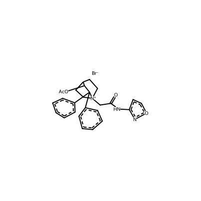 CC(=O)OC1C2CC[N+](CC(=O)Nc3ccon3)(CC2)C1(c1ccccc1)c1ccccc1.[Br-]